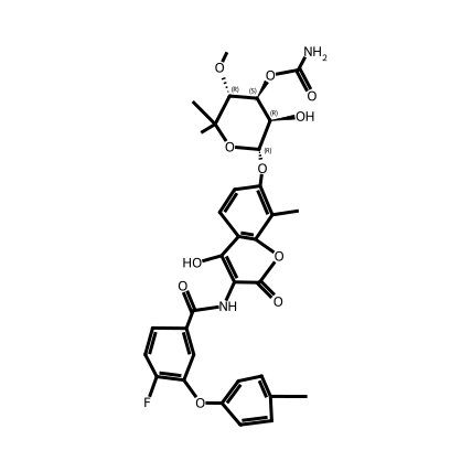 CO[C@@H]1[C@@H](OC(N)=O)[C@@H](O)[C@H](Oc2ccc3c(O)c(NC(=O)c4ccc(F)c(Oc5ccc(C)cc5)c4)c(=O)oc3c2C)OC1(C)C